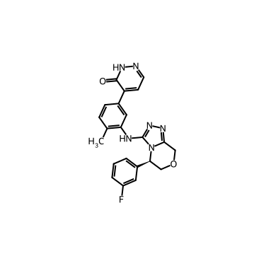 Cc1ccc(-c2ccn[nH]c2=O)cc1Nc1nnc2n1[C@H](c1cccc(F)c1)COC2